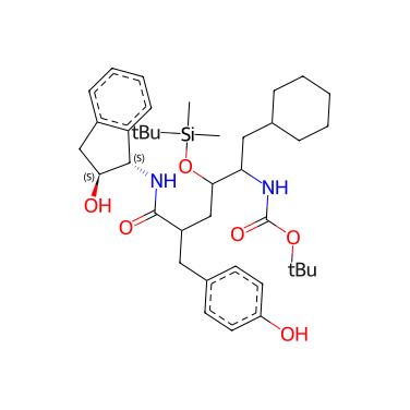 CC(C)(C)OC(=O)NC(CC1CCCCC1)C(CC(Cc1ccc(O)cc1)C(=O)N[C@H]1c2ccccc2C[C@@H]1O)O[Si](C)(C)C(C)(C)C